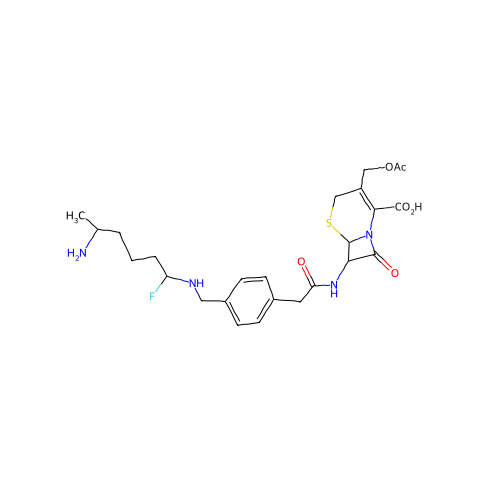 CC(=O)OCC1=C(C(=O)O)N2C(=O)C(NC(=O)Cc3ccc(CNC(F)CCCC(C)N)cc3)C2SC1